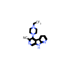 N#Cc1ncc2[nH]c3ncccc3c2c1N1CCN(CC(F)(F)F)CC1